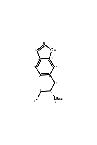 CN[C@H](CF)Cc1ccc2ccoc2c1